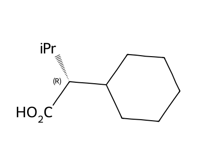 CC(C)[C@@H](C(=O)O)C1CCCCC1